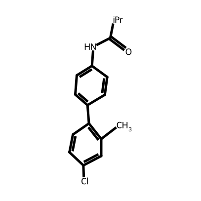 Cc1cc(Cl)ccc1-c1ccc(NC(=O)C(C)C)cc1